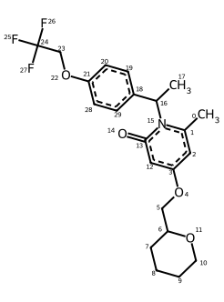 Cc1cc(OCC2CCCCO2)cc(=O)n1C(C)c1ccc(OCC(F)(F)F)cc1